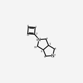 C1=CC(N2CC3C[N]CC3C2)=C1